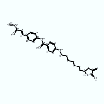 C=C1CC(CCCCCCCOc2ccc(C(=O)Oc3ccc(/C=C/C(=O)OCCCC)cc3)cc2)OC1=O